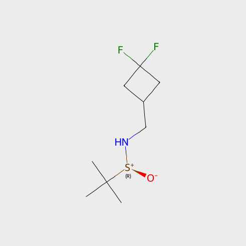 CC(C)(C)[S@+]([O-])NCC1CC(F)(F)C1